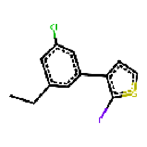 CCc1cc(Cl)cc(-c2ccsc2I)c1